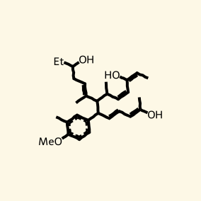 C/C=C(O)\C=C/C(C)C(/C(C)=C/CC(O)CC)C(/C=C/C=C(\C)O)c1ccc(OC)c(C)c1